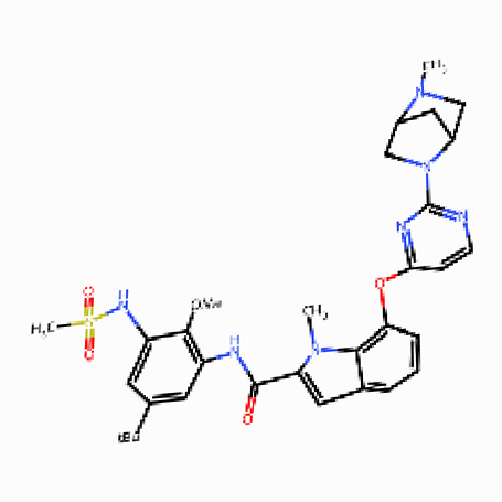 COc1c(NC(=O)c2cc3cccc(Oc4ccnc(N5CC6CC5CN6C)n4)c3n2C)cc(C(C)(C)C)cc1NS(C)(=O)=O